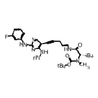 CCCNc1nc(Nc2cccc(F)c2)ncc1C#CCCCNC(=O)[C@H](C(C)CC)N(C)C(=O)OC(C)(C)C